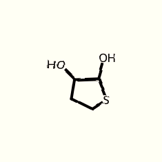 OC1CCSC1O